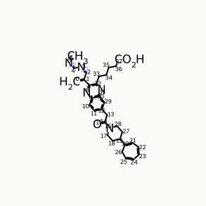 C=C(/C=N\C=N/C)c1nc2ccc(CC(=O)N3CCC(C4=CC=CC=CC4)CC3)cc2nc1CCCCC(=O)O